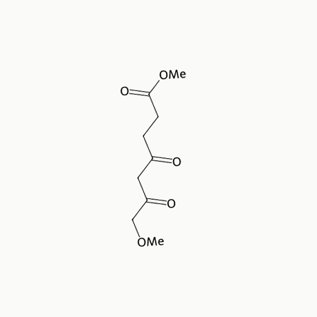 COCC(=O)CC(=O)CCC(=O)OC